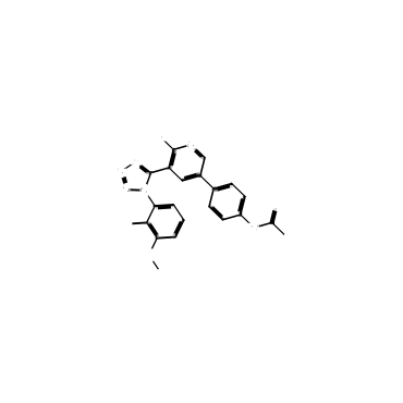 COc1cccc(-n2nnnc2-c2cc(-c3ccc(NC(C)=O)cc3)cnc2N)c1F